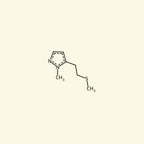 CSCCc1ccnn1C